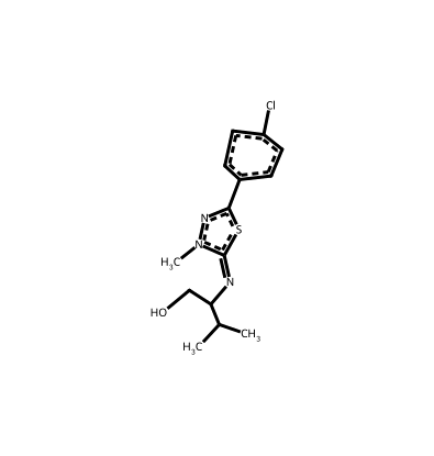 CC(C)C(CO)N=c1sc(-c2ccc(Cl)cc2)nn1C